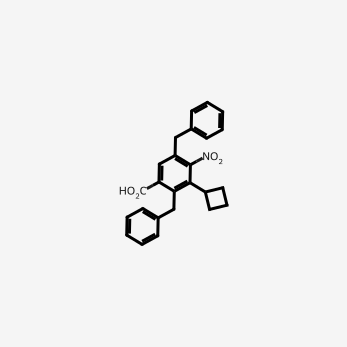 O=C(O)c1cc(Cc2ccccc2)c([N+](=O)[O-])c(C2CCC2)c1Cc1ccccc1